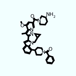 COc1cc(C(=O)N2CCC[C@@H](N)C2)cn2nc(-c3cc4cccc(C5CCN(C(=O)c6ccccc6)CC5)c4n3CC3CC3)c(C)c12